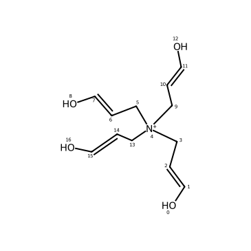 OC=CC[N+](CC=CO)(CC=CO)CC=CO